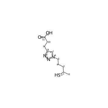 CC(S)CCCn1cc(CCC(=O)O)nn1